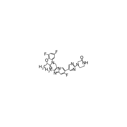 Cc1nc2cc(F)c(-c3cnc(N4CCNC(=O)C4)nc3)cn2c1CN1C(=O)[C@@H](C)Oc2c(F)cc(F)cc21